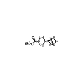 CC(C)(C)OC(=O)N1CCN(C2CN3CCC2CC3)CC1